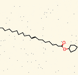 CCCCCCCCCC/C=C/CCCCCCCC(=O)OC1CCCCC1